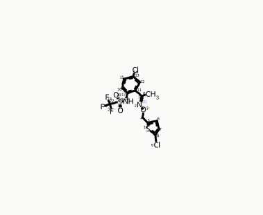 C/C(=N\OCc1ccc(Cl)s1)c1cc(Cl)ccc1NS(=O)(=O)C(F)(F)F